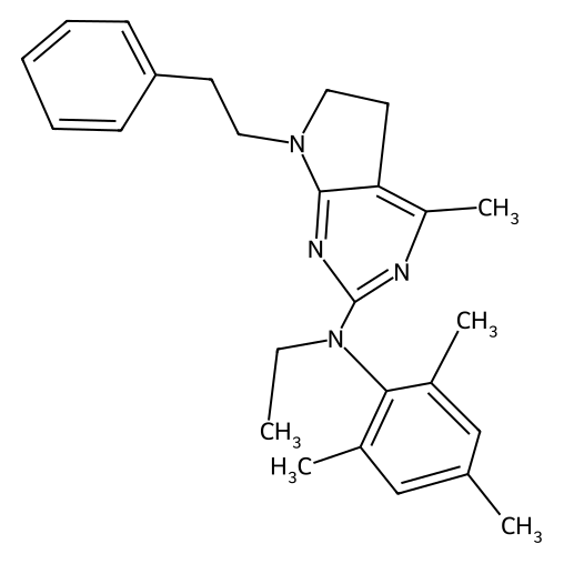 CCN(c1nc(C)c2c(n1)N(CCc1ccccc1)CC2)c1c(C)cc(C)cc1C